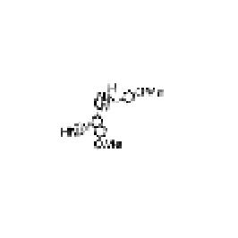 COc1ccc(CNc2nccc(-c3cc(N4CCNCC4)c4cc(OC)ccc4c3)n2)cc1